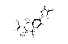 COc1cc(C2CNC(=O)O2)ccc1C(=O)C(C)CC(=O)O